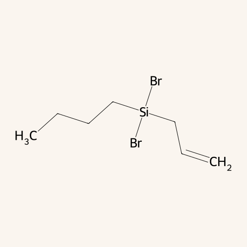 C=CC[Si](Br)(Br)CCCC